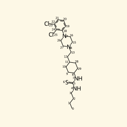 CCCCNC(=S)NC1CCC(CCN2CCN(c3cccc(Cl)c3Cl)CC2)CC1